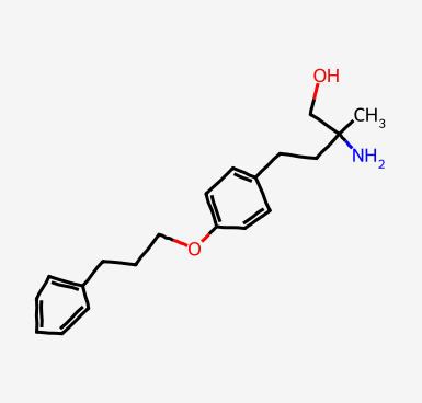 CC(N)(CO)CCc1ccc(OCCCc2ccccc2)cc1